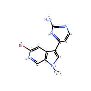 Cn1cc(-c2ccnc(N)n2)c2cc(Br)ncc21